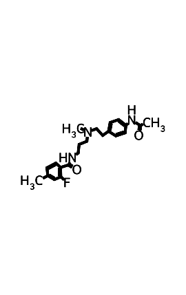 CC(=O)Nc1ccc(CCN(C)CCCNC(=O)c2ccc(C)cc2F)cc1